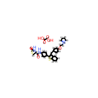 O=C(O)C(=O)O.O=C1N[C@H](C(=O)Nc2ccc(-c3sc4ccccc4c3Cc3ccc(OCCN4CCCC4)cc3)cc2)CS1